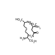 NC(=O)C[C@H](N)C(=O)O.N[C@@H](CSSC[C@H](N)C(=O)O)C(=O)O